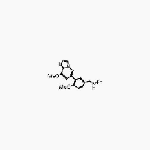 CCNCc1ccc(OC)c(-c2cc(OC)c3nccn3c2)c1